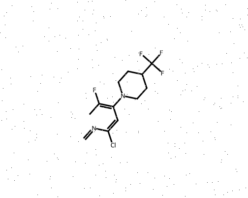 C=N/C(Cl)=C\C(=C(/C)F)N1CCC(C(F)(F)F)CC1